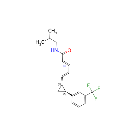 CC(C)CNC(=O)/C=C/C=C[C@@H]1C[C@@H]1c1cccc(C(F)(F)F)c1